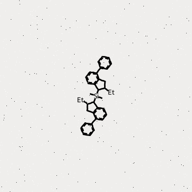 CCC1Cc2c(-c3ccccc3)cccc2C1[Si](C)(C)C1c2cccc(-c3ccccc3)c2CC1CC